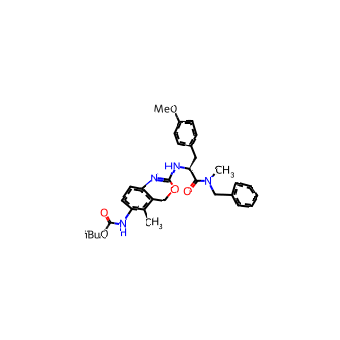 COc1ccc(C[C@H](NC2=Nc3ccc(NC(=O)OCC(C)C)c(C)c3CO2)C(=O)N(C)Cc2ccccc2)cc1